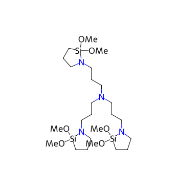 CO[Si]1(OC)CCCN1CCCN(CCCN1CCC[Si]1(OC)OC)CCCN1CCC[Si]1(OC)OC